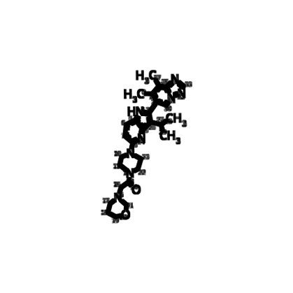 Cc1c(-c2[nH]c3ccc(N4CCN(C(=O)CN5CCCOC5)CC4)nc3c2C(C)C)cn2ncnc2c1C